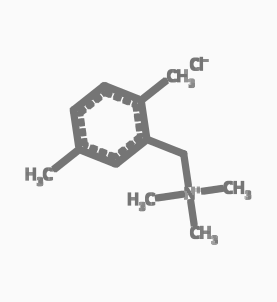 Cc1ccc(C)c(C[N+](C)(C)C)c1.[Cl-]